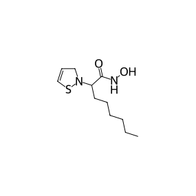 CCCCCCC(C(=O)NO)N1CC=CS1